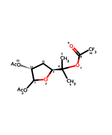 CC(=O)OC1O[C@H](C(C)(C)OC(=O)C(F)(F)F)C[C@H]1OC(C)=O